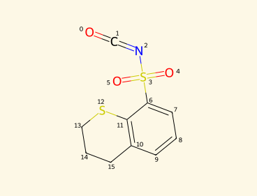 O=C=NS(=O)(=O)c1cccc2c1SCCC2